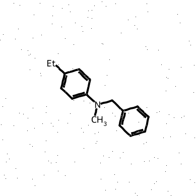 CCc1ccc(N(C)Cc2ccccc2)cc1